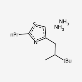 CCCc1nc(CC(C)C(C)(C)C)cs1.N.N